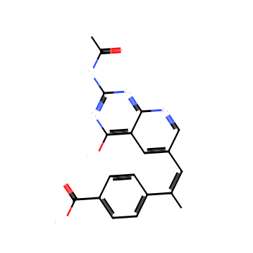 CC(=O)Nc1nc(O)c2cc(C=C(C)c3ccc(C(=O)O)cc3)cnc2n1